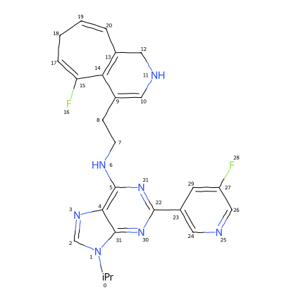 CC(C)n1cnc2c(NCCC3=CNCC4=C3C(F)=CCC=C4)nc(-c3cncc(F)c3)nc21